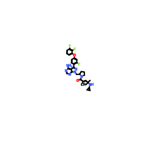 CC(C)(C=C(C#N)C(=O)N1CCCC1Cn1nc(-c2ccc(Oc3cccc(F)c3F)cc2F)c2c(N)ncnc21)NC1CC1